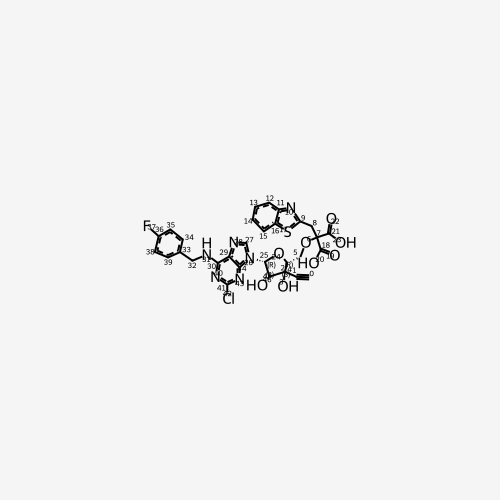 C#C[C@@]1(O)[C@@H](COC(Cc2nc3ccccc3s2)(C(=O)O)C(=O)O)O[C@@H](n2cnc3c(NCc4ccc(F)cc4)nc(Cl)nc32)[C@@H]1O